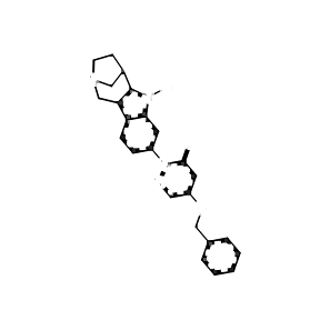 Cn1c2c(c3ccc(-n4ncc(OCc5ccccc5)cc4=O)cc31)CN1CCC2C1